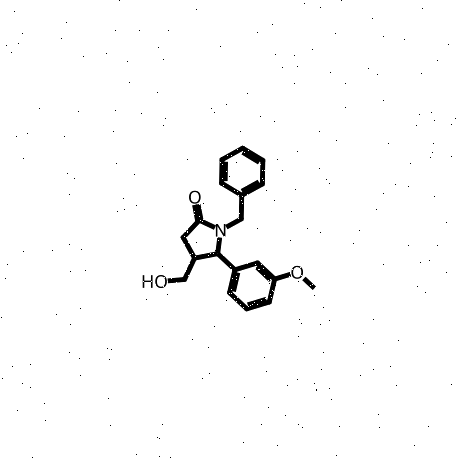 COc1cccc(C2C(CO)CC(=O)N2Cc2ccccc2)c1